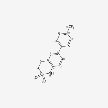 O=S1(=O)CCc2cc(-c3ccc(C(F)(F)F)cc3)ccc2N1